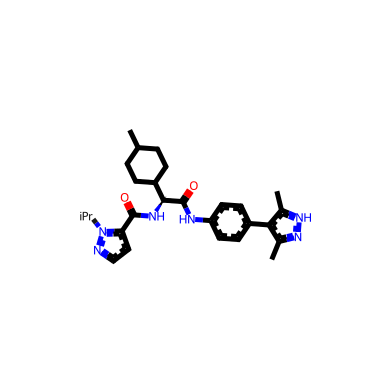 Cc1n[nH]c(C)c1-c1ccc(NC(=O)[C@@H](NC(=O)c2ccnn2C(C)C)C2CCC(C)CC2)cc1